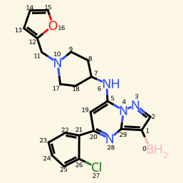 Bc1cnn2c(NC3CCN(Cc4ccco4)CC3)cc(-c3ccccc3Cl)nc12